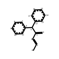 [CH]=C(C=CC)C(c1ccccc1)c1ccccc1